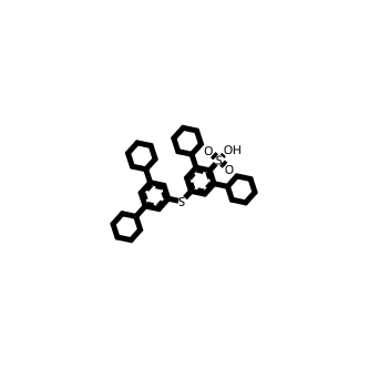 O=S(=O)(O)c1c(C2CCCCC2)cc(Sc2cc(C3CCCCC3)cc(C3CCCCC3)c2)cc1C1CCCCC1